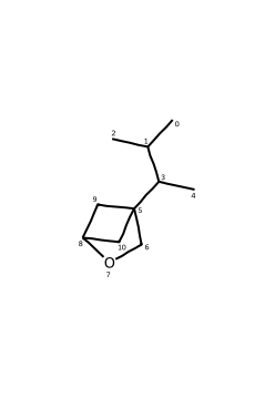 CC(C)C(C)C12COC(C1)C2